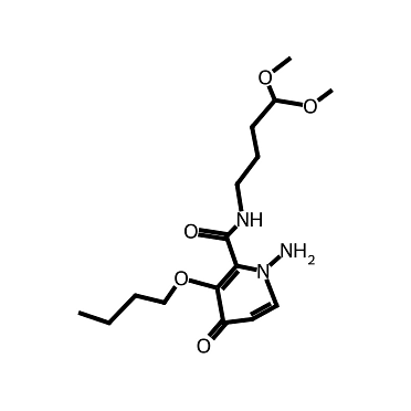 CCCCOc1c(C(=O)NCCCC(OC)OC)n(N)ccc1=O